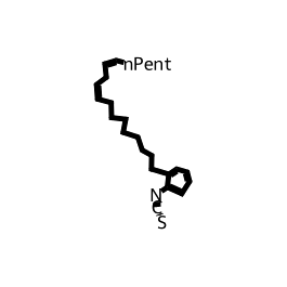 CCCCC/C=C\C/C=C\CCCCCCCCc1ccccc1N=C=S